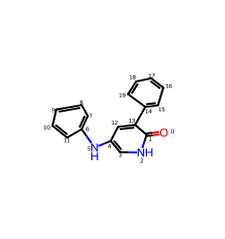 O=c1[nH]cc(Nc2ccccc2)cc1-c1ccccc1